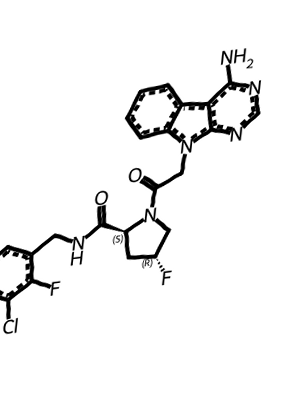 Nc1ncnc2c1c1ccccc1n2CC(=O)N1C[C@H](F)C[C@H]1C(=O)NCc1cccc(Cl)c1F